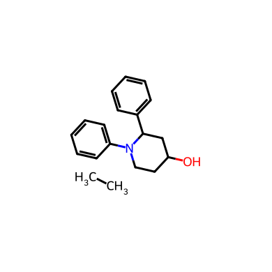 CC.OC1CCN(c2ccccc2)C(c2ccccc2)C1